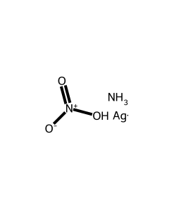 N.O=[N+]([O-])O.[Ag]